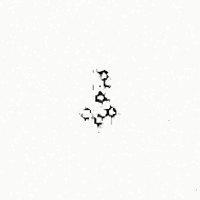 Cc1ccnc(C(CO)Nc2ccc3c(c2)Sc2cccc(-c4cc(N5CCOCC5)cc(=O)[nH]4)c2S3)n1